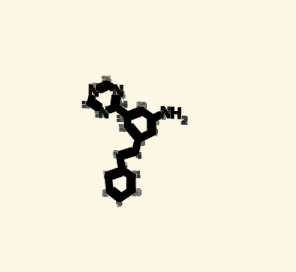 Nc1cc(C=Cc2ccccc2)cc(-c2ncncn2)c1